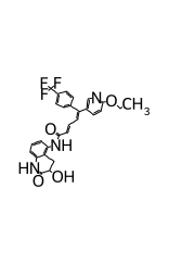 CCOc1ccc(/C(=C/C=C/C(=O)Nc2cccc3c2CC(O)C(=O)N3)c2ccc(C(F)(F)F)cc2)cn1